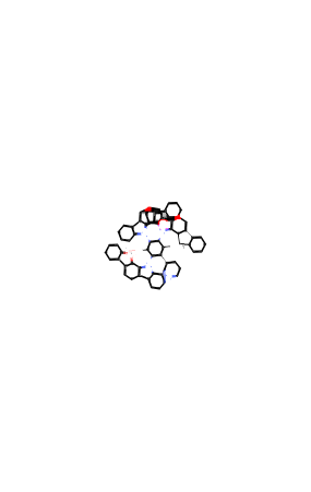 N#Cc1c(-c2cccnc2)c(-n2c3ccccc3c3ccc4c5ccccc5oc4c32)c(C#N)c(-n2c3ccccc3c3ccc4c5ccccc5oc4c32)c1-n1c2ccccc2c2ccc3c(c21)Cc1ccccc1-3